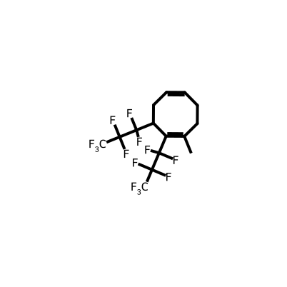 C/C1=C(\C(F)(F)C(F)(F)C(F)(F)F)C(C(F)(F)C(F)(F)C(F)(F)F)C/C=C\CC1